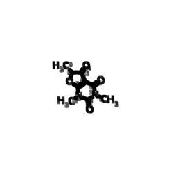 CC1Oc2c(c(=O)n(C)c(=O)n2C)C1=O